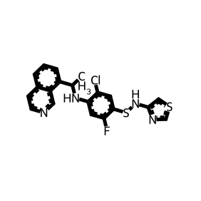 CC(Nc1cc(F)c(SNc2cscn2)cc1Cl)c1cccc2ccncc12